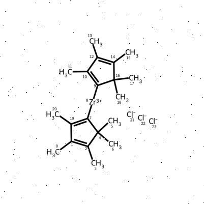 CC1=C(C)C(C)(C)[C]([Zr+3][C]2=C(C)C(C)=C(C)C2(C)C)=C1C.[Cl-].[Cl-].[Cl-]